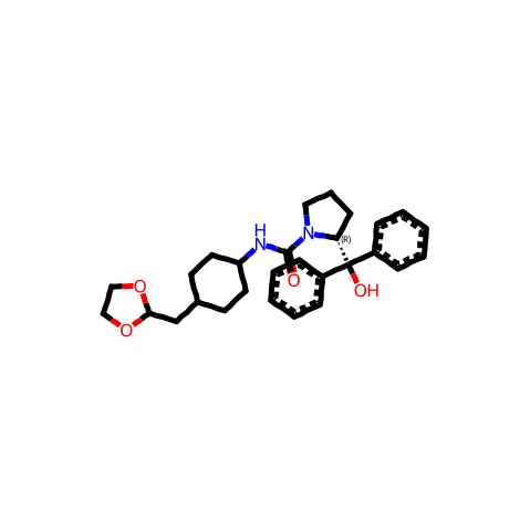 O=C(NC1CCC(CC2OCCO2)CC1)N1CCC[C@@H]1C(O)(c1ccccc1)c1ccccc1